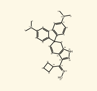 CN(C)c1ccc(C2(c3ccc(N(C)C)cc3)C=Cc3c(/C(=N/O)C4CCC4)n[nH]c3C2)cc1